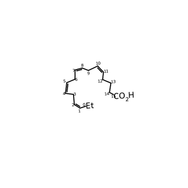 CC/C=C\C/C=C\C/C=C\C/C=C\CCCC(=O)O